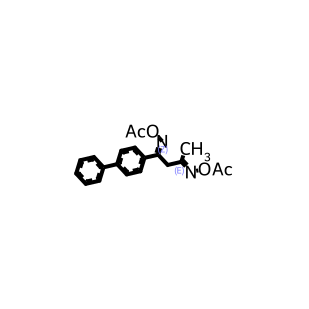 CC(=O)O/N=C(/C/C(C)=N/OC(C)=O)c1ccc(-c2ccccc2)cc1